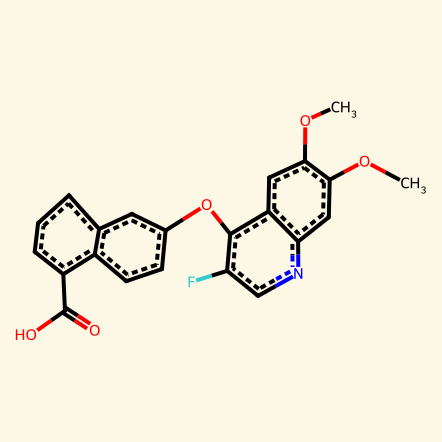 COc1cc2ncc(F)c(Oc3ccc4c(C(=O)O)cccc4c3)c2cc1OC